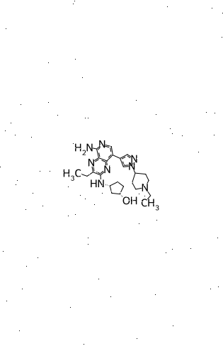 CCc1nc2c(N)ncc(-c3cnn(C4CCN(CC)CC4)c3)c2nc1N[C@@H]1CC[C@H](O)C1